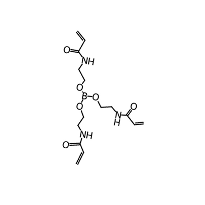 C=CC(=O)NCCOB(OCCNC(=O)C=C)OCCNC(=O)C=C